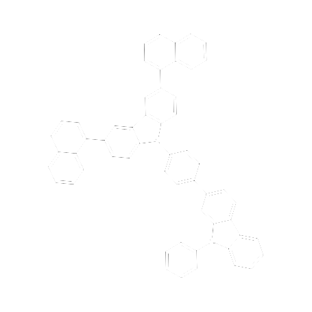 c1ccc(-n2c3ccccc3c3ccc(-c4ccc(-n5c6ccc(-c7cccc8ccccc78)cc6c6cc(-c7cccc8ccccc78)ccc65)cc4)cc32)cc1